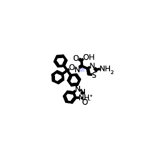 Nc1nc(/C(=N/OC(c2ccccc2)(c2ccccc2)c2ccccc2)C(=O)O)cs1.[O-][NH+]1N=Nc2ccccc21